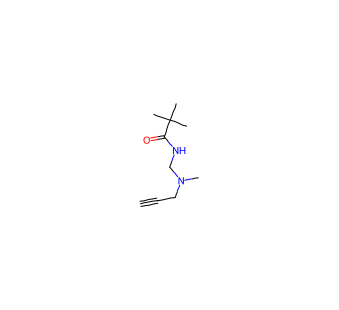 C#CCN(C)CNC(=O)C(C)(C)C